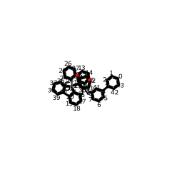 c1ccc(-c2cccc(N(c3ccccc3)c3cccc4c3[Si](c3ccccc3)(c3ccccc3)c3ccccc3-4)c2)cc1